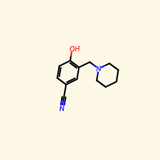 N#Cc1ccc(O)c(CN2CCCCC2)c1